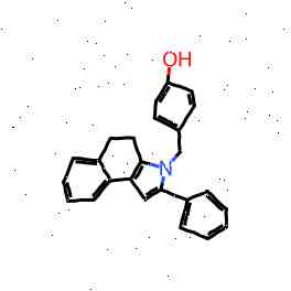 Oc1ccc(Cn2c(-c3ccccc3)cc3c2CCc2ccccc2-3)cc1